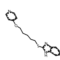 c1ccc2[nH]c(SCCCCCOc3ccncc3)nc2c1